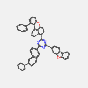 c1ccc(-c2ccc3cc(-c4nc(-c5ccc6c(c5)oc5ccccc56)nc(-c5ccc6c7c(cccc57)-c5c(cccc5-c5ccccc5)O6)n4)ccc3c2)cc1